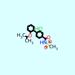 CC(C)Oc1ccccc1-c1ccc(C(=O)NS(C)(=O)=O)cc1.Cl